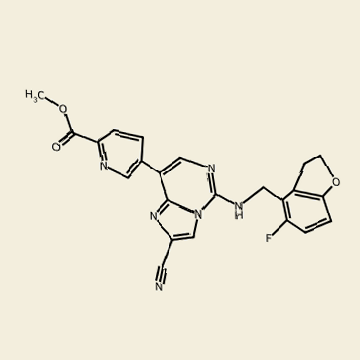 COC(=O)c1ccc(-c2cnc(NCc3c(F)ccc4c3CCO4)n3cc(C#N)nc23)cn1